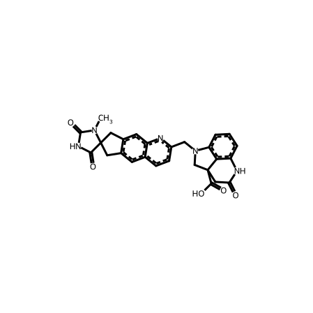 CN1C(=O)NC(=O)C12Cc1cc3ccc(CN4CC5(C(=O)O)CC(=O)Nc6cccc4c65)nc3cc1C2